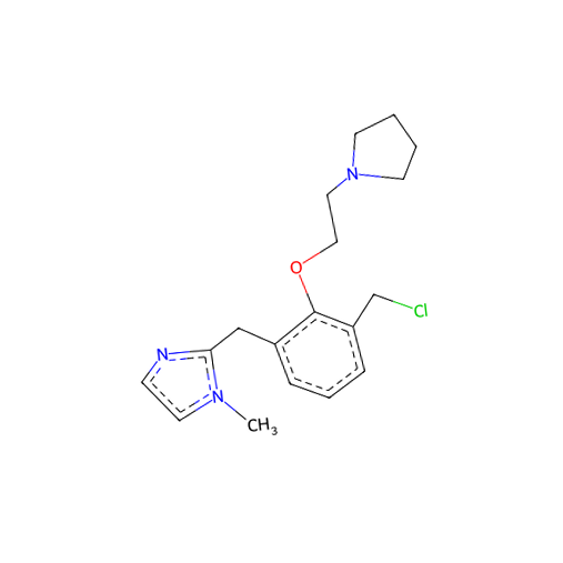 Cn1ccnc1Cc1cccc(CCl)c1OCCN1CCCC1